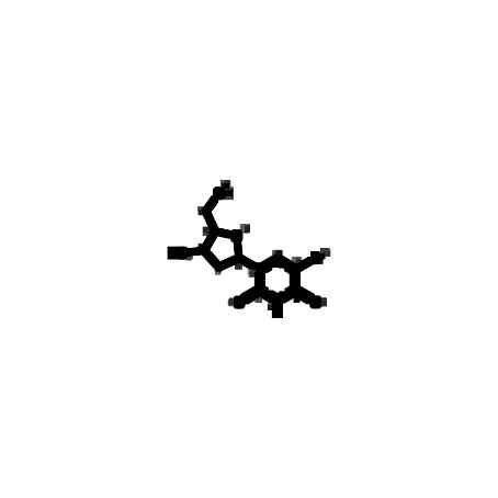 O=c1[nH]c(=O)n(C2CC(O)C(CO)O2)cc1Br